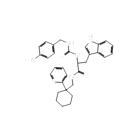 C[C@H](NC(=O)N[C@@](C)(Cc1c[nH]c2ccccc12)C(=O)NCC1(c2ccccn2)CCCCC1)c1ccc([N+](=O)[O-])cc1